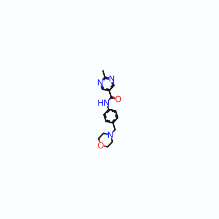 Cc1ncc(C(=O)Nc2ccc(CN3CCOCC3)cc2)cn1